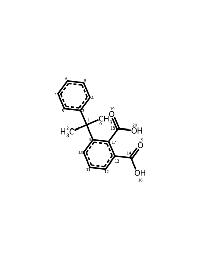 CC(C)(c1ccccc1)c1cccc(C(=O)O)c1C(=O)O